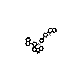 CC1(C)c2ccccc2-c2c(N(c3ccc(-c4ccc5c(c4)sc4c6ccccc6ccc54)cc3)c3ccc(-c4cccc5ccccc45)cc3)cccc21